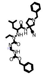 CCN(NC(CC(C)C)C(=O)NC1(C#N)CCN(Cc2ccccc2)C1)C(=O)/N=C\NC(=O)OCc1ccccc1